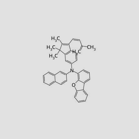 C=C(C)/C=C\C1=C(C)C(C)(C)c2cc(N(c3ccc4ccccc4c3)c3cccc4c3oc3ccccc34)ccc21